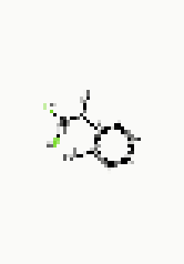 CCC(c1ccccc1C(C)C)[SiH](F)F